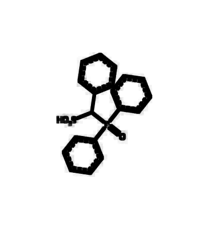 O=P(c1ccccc1)(c1ccccc1)C(c1ccccc1)S(=O)(=O)O